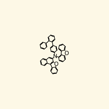 c1ccc(-c2ccccc2-c2ccc(N(c3cc4ccccc4c4c3oc3ccccc34)c3cccc4oc5ccccc5c34)cc2)cc1